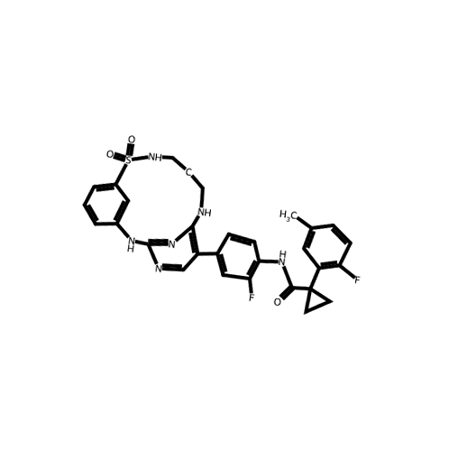 Cc1ccc(F)c(C2(C(=O)Nc3ccc(-c4cnc5nc4NCCCNS(=O)(=O)c4cccc(c4)N5)cc3F)CC2)c1